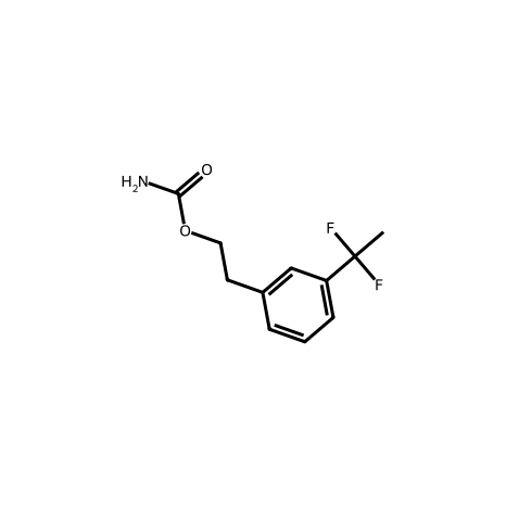 CC(F)(F)c1cccc(CCOC(N)=O)c1